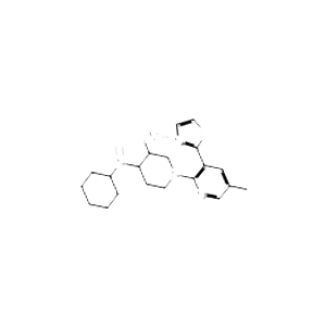 COC1CN(c2ncc(C)cc2-c2ncco2)CCC1NC1CCCCC1